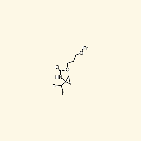 CC(C)OCCCOC(=O)NC1(C(F)F)CC1